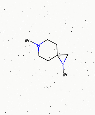 CC(C)N1CCC2(CC1)CN2C(C)C